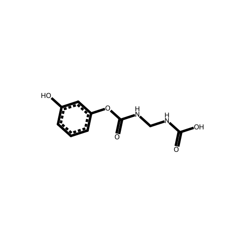 O=C(O)NCNC(=O)Oc1cccc(O)c1